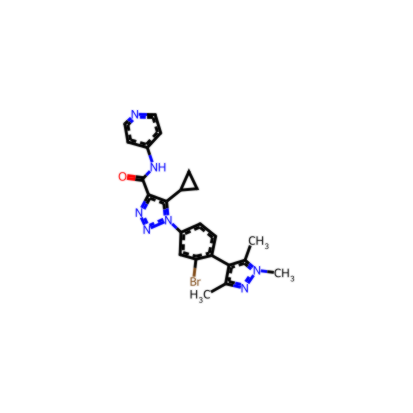 Cc1nn(C)c(C)c1-c1ccc(-n2nnc(C(=O)Nc3ccncc3)c2C2CC2)cc1Br